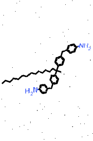 CCCCCCCCCCCCCCC(C)(c1ccc(Cc2ccc(N)cc2)cc1)c1ccc(Cc2ccc(N)cc2)cc1